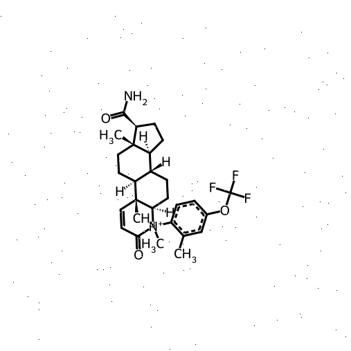 Cc1cc(OC(F)(F)F)ccc1[N+]1(C)C(=O)C=C[C@@]2(C)[C@H]1CC[C@@H]1[C@@H]2CC[C@]2(C)[C@@H](C(N)=O)CC[C@@H]12